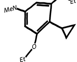 CCOc1cc(NC)cc(OCC)c1C1CC1